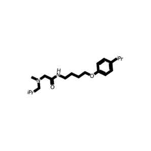 CC(C)CN(C)CC(=O)NCCCCOc1ccc(C(C)C)cc1